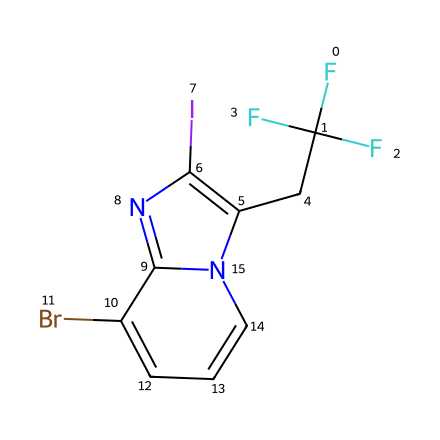 FC(F)(F)Cc1c(I)nc2c(Br)cccn12